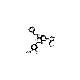 COc1ccc(CNc2nc(N3CCCC3CO)ncc2C(=O)NCc2cncnc2)cc1Cl